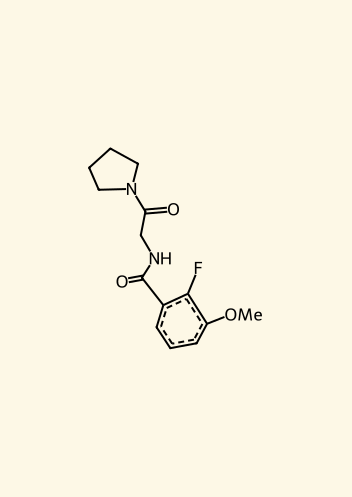 COc1cccc(C(=O)NCC(=O)N2CCCC2)c1F